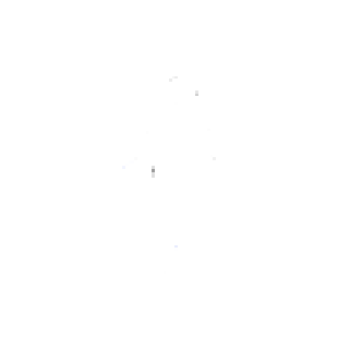 Oc1cc(NC2CCN(c3ccccc3)CC2)c2cc(C(c3ccc(Cl)cc3)c3ccc(Cl)cc3)ccc2n1